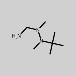 CN(CN)N(C)C(C)(C)C